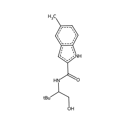 Cc1ccc2[nH]c(C(=O)NC(CO)C(C)(C)C)cc2c1